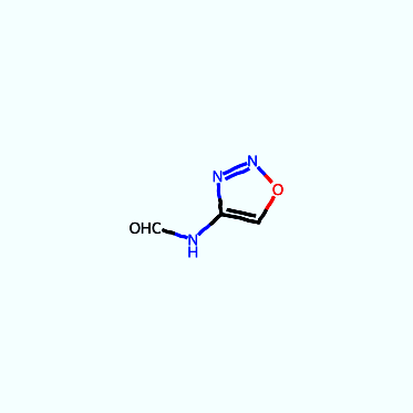 O=CNc1conn1